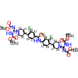 CC(C)(C)OC(=O)N=C(NC(=O)OC(C)(C)C)N1CC=C(c2ccc(C(=O)Nc3ccc(C4=CCN(C(=NC(=O)OC(C)(C)C)NC(=O)OC(C)(C)C)CC4)c(F)c3F)cc2F)CC1